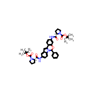 CC(C)(C)OC(=O)N1CCC[C@H]1C(=O)Nc1ccc2c(c1)OC(c1ccccc1)n1c-2cc2cc(NC(=O)[C@@H]3CCCN3C(=O)OC(C)(C)C)ccc21